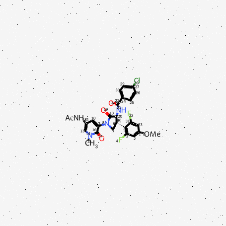 COc1cc(F)c([C@@H]2CN(c3cc(NC(C)=O)cn(C)c3=O)C(=O)C2NC(=O)c2ccc(Cl)cc2)c(F)c1